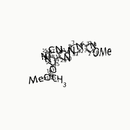 COc1ccc(CN2CCN(c3ccc(-c4cc(OC[C@H](C)OC)cn5ncc(C#N)c45)cn3)CC2)cn1